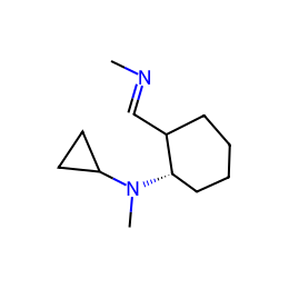 C/N=C/C1CCCC[C@@H]1N(C)C1CC1